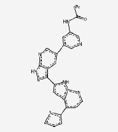 CCCC(=O)Nc1cncc(-c2cnc3[nH]nc(-c4cc5c(-c6cccs6)ccnc5[nH]4)c3c2)c1